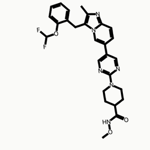 CONC(=O)C1CCN(c2ncc(-c3ccc4nc(C)c(Cc5ccccc5OC(F)F)n4c3)cn2)CC1